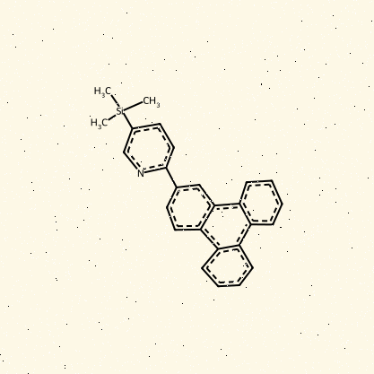 C[Si](C)(C)c1ccc(-c2ccc3c4ccccc4c4ccccc4c3c2)nc1